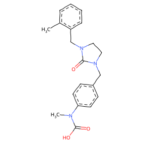 Cc1ccccc1CN1CCN(Cc2ccc(N(C)C(=O)O)cc2)C1=O